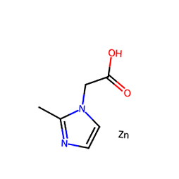 Cc1nccn1CC(=O)O.[Zn]